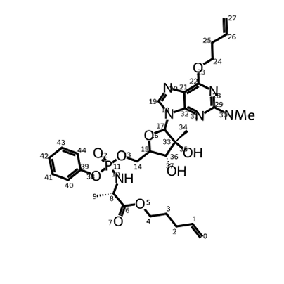 C=CCCCOC(=O)[C@H](C)NP(=O)(OCC1OC(n2cnc3c(OCCC=C)nc(NC)nc32)[C@](C)(O)[C@@H]1O)Oc1ccccc1